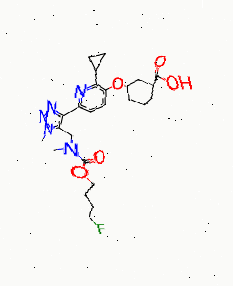 CN(Cc1c(-c2ccc(O[C@H]3CCC[C@H](C(=O)O)C3)c(C3CC3)n2)nnn1C)C(=O)OCCCCF